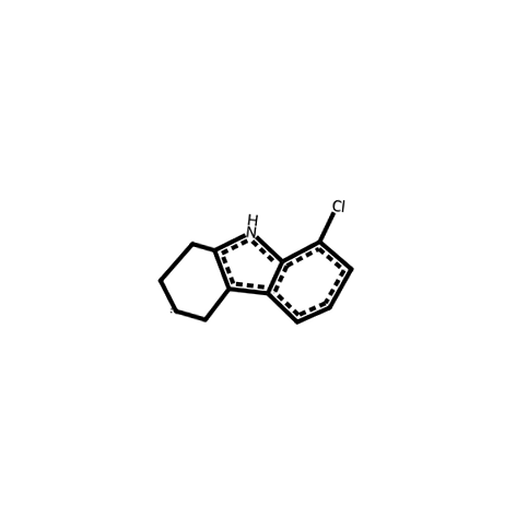 Clc1cccc2c3c([nH]c12)CC[C]C3